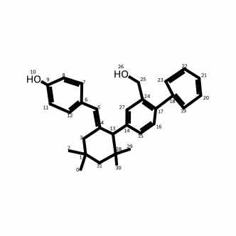 CC1(C)CC(=Cc2ccc(O)cc2)C(c2ccc(-c3ccccc3)c(CO)c2)C(C)(C)C1